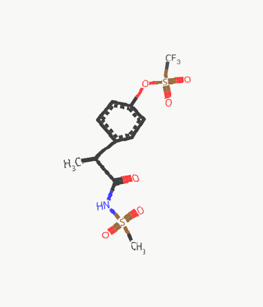 CC(C(=O)NS(C)(=O)=O)c1ccc(OS(=O)(=O)C(F)(F)F)cc1